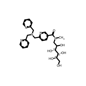 CN(CC(O)[C@@H](O)[C@H](O)[C@H](O)CO)C(=O)c1ccc(CN(Cc2ccccn2)Cc2ccccn2)nc1